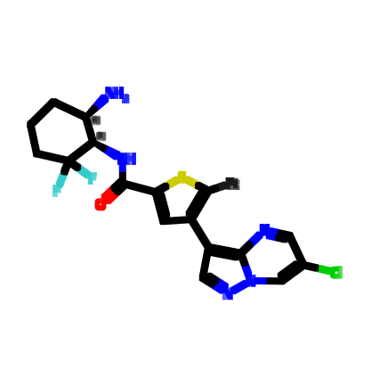 CCc1sc(C(=O)N[C@@H]2[C@H](N)CCCC2(F)F)cc1-c1cnn2cc(Cl)cnc12